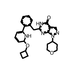 O=c1[nH]c(Cc2ccccc2C2=CC=CC(OC3CCC3)N2)nc2c1cnn2C1CCOCC1